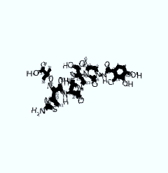 C[C@@H]1CN(NC(=O)c2ccc(O)c(O)c2Cl)C(=O)N1[C@]1(C(=O)O)CN2C(=O)[C@@H](NC(=O)/C(=N\OC(C)(C)C(=O)O)c3csc(N)n3)[C@H]2S1